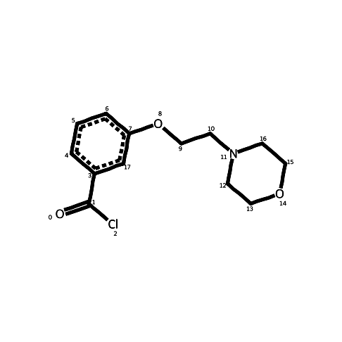 O=C(Cl)c1cccc(OCCN2CCOCC2)c1